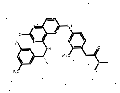 COc1cc(Nc2ccc3nc(Cl)nc(N[C@H](C)c4cc(N)cc(C(F)(F)F)c4)c3c2)ccc1CC(=O)N(C)C